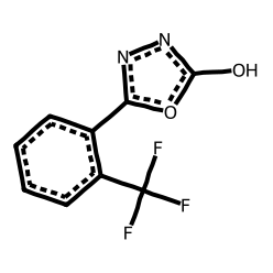 Oc1nnc(-c2ccccc2C(F)(F)F)o1